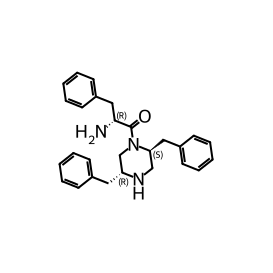 N[C@H](Cc1ccccc1)C(=O)N1C[C@@H](Cc2ccccc2)NC[C@@H]1Cc1ccccc1